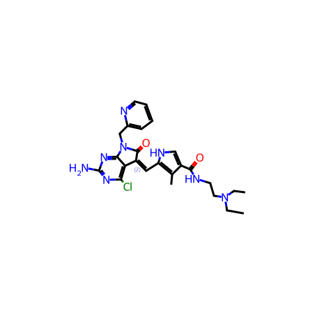 CCN(CC)CCNC(=O)c1c[nH]c(/C=C2\C(=O)N(Cc3ccccn3)c3nc(N)nc(Cl)c32)c1C